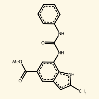 COC(=O)c1cc(NC(=O)Nc2ccccc2)c2[nH]c(C)cc2c1